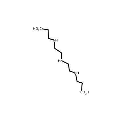 O=C(O)CCNCCNCCNCCC(=O)O